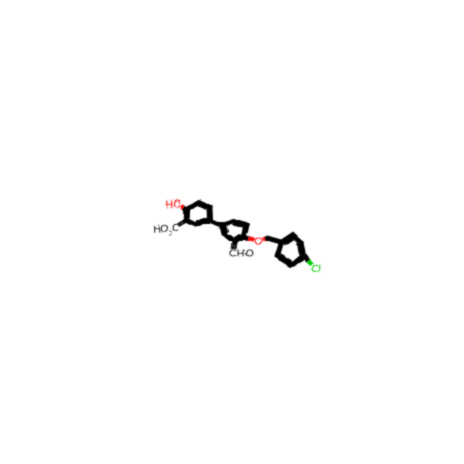 O=Cc1cc(-c2ccc(O)c(C(=O)O)c2)ccc1OCc1ccc(Cl)cc1